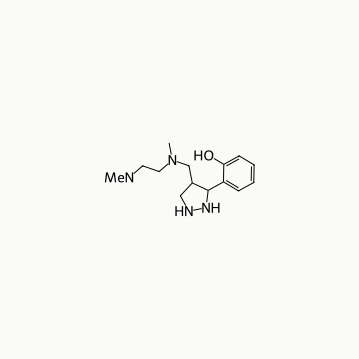 CNCCN(C)CC1CNNC1c1ccccc1O